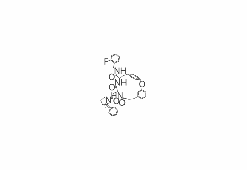 O=C1CCc2cccc(c2)Oc2ccc(cc2)CC(C(=O)NCc2ccccc2F)NC(=O)C(CC(=O)N2CCC[C@@H]2c2ccccc2)N1